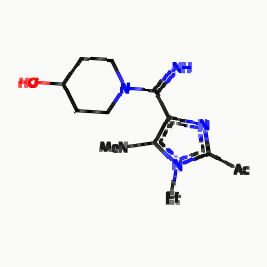 CCn1c(C(C)=O)nc(C(=N)N2CCC(O)CC2)c1NC